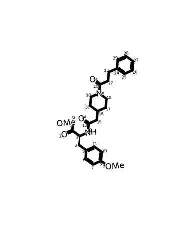 COC(=O)[C@H](Cc1ccc(OC)cc1)NC(=O)CC1CCN(C(=O)CCc2ccccc2)CC1